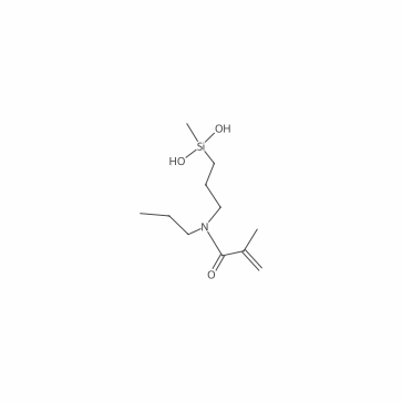 C=C(C)C(=O)N(CCC)CCC[Si](C)(O)O